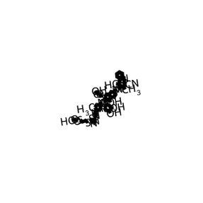 Cc1cc(N=Nc2c(SOOO)cc3cc(N=Nc4c(C)c(C#N)c5nc6ccccc6n5c4O)ccc3c2O)c(N(CCO)CCCO)cc1N=Nc1nnc(SCCSOOO)s1